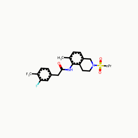 CCCS(=O)(=O)N1CCc2c(ccc(C)c2NC(=O)Cc2ccc(C(F)(F)F)c(F)c2)C1